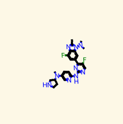 Cc1nc2c(F)cc(-c3nc(Nc4ccc(N(C)C5CCNC5)cn4)ncc3F)cc2n1N(C)C